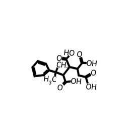 CC(C)(c1ccccc1)C(C(=O)O)C(C(=O)O)C(CC(=O)O)C(=O)O